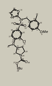 COc1ccc(CN(c2nccs2)S(=O)(=O)c2ccc(N(C)[C@H]3CCN(C(=O)OC(C)(C)C)C3)c(Cl)c2)c(C)c1